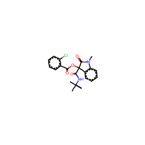 CN1C(=O)C(OC(=O)c2ccccc2Cl)(C(=O)NC(C)(C)C)c2ccccc21